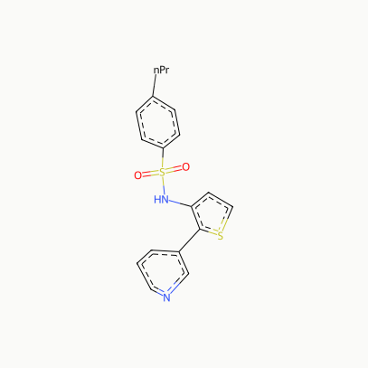 CCCc1ccc(S(=O)(=O)Nc2ccsc2-c2cccnc2)cc1